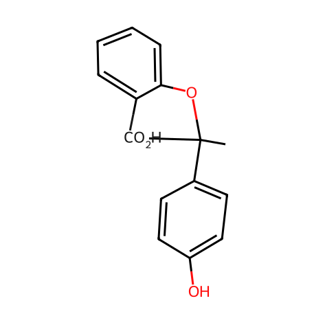 CC(C)(Oc1ccccc1C(=O)O)c1ccc(O)cc1